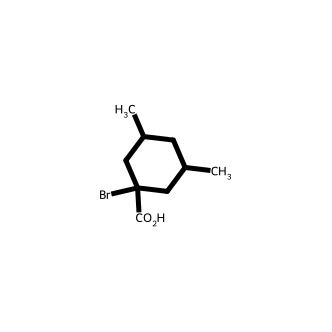 CC1CC(C)CC(Br)(C(=O)O)C1